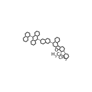 CC1(C)c2ccccc2-c2ccc3c(oc4cc(-c5ccc6cc(-c7c8ccccc8c(-c8cccc9ccccc89)c8ccccc78)ccc6c5)c5ccccc5c43)c21